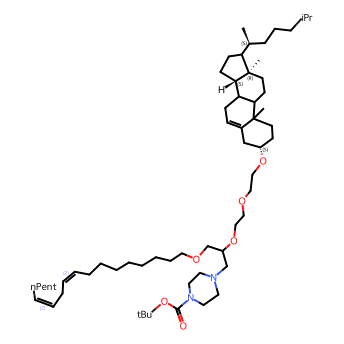 CCCCC/C=C\C/C=C\CCCCCCCCOCC(CN1CCN(C(=O)OC(C)(C)C)CC1)OCCOCCO[C@H]1CCC2(C)C(=CCC3C2CC[C@]2(C)C([C@@H](C)CCCC(C)C)CC[C@@H]32)C1